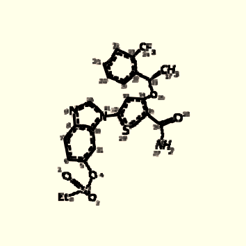 CCS(=O)(=O)Oc1ccc2ncn(-c3cc(O[C@H](C)c4ccccc4C(F)(F)F)c(C(N)=O)s3)c2c1